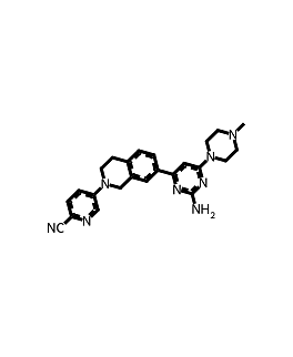 CN1CCN(c2cc(-c3ccc4c(c3)CN(c3ccc(C#N)nc3)CC4)nc(N)n2)CC1